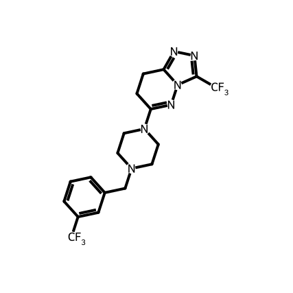 FC(F)(F)c1cccc(CN2CCN(C3=Nn4c(nnc4C(F)(F)F)CC3)CC2)c1